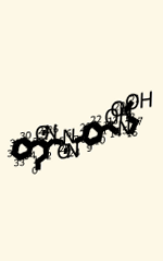 CCCc1c(-c2nc(-c3ccc(C(O)CN4CC[C@@H]4C(=O)O)cc3)no2)noc1-c1ccccc1